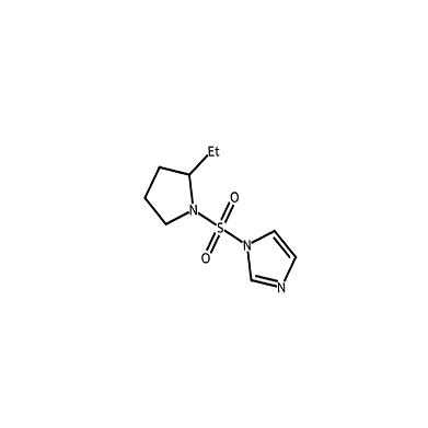 CCC1CCCN1S(=O)(=O)n1ccnc1